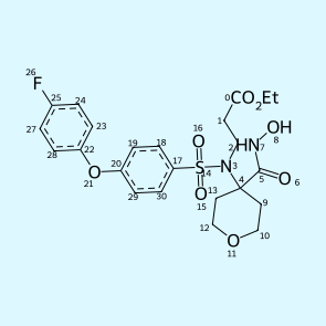 CCOC(=O)CCN(C1(C(=O)NO)CCOCC1)S(=O)(=O)c1ccc(Oc2ccc(F)cc2)cc1